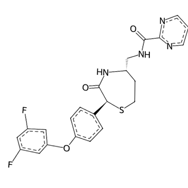 O=C(NC[C@@H]1CCS[C@@H](c2ccc(Oc3cc(F)cc(F)c3)cc2)C(=O)N1)c1ncccn1